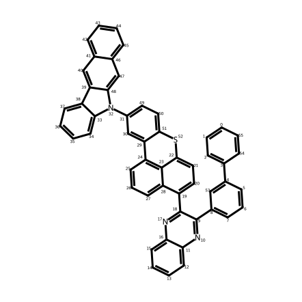 c1ccc(-c2cccc(-c3nc4ccccc4nc3-c3ccc4c5c(cccc35)-c3cc(-n5c6ccccc6c6cc7ccccc7cc65)ccc3S4)c2)cc1